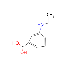 CCNc1cccc(C(O)O)c1